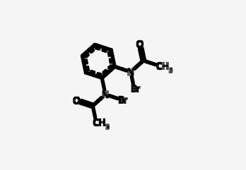 CC(=O)N(Br)c1ccccc1N(Br)C(C)=O